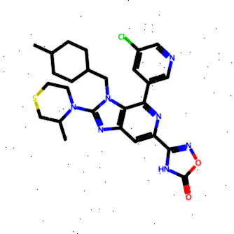 CC1CCC(Cn2c(N3CCSCC3C)nc3cc(-c4noc(=O)[nH]4)nc(-c4cncc(Cl)c4)c32)CC1